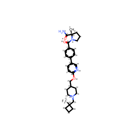 C[C@@]1(C(N)=O)CCCN1C(=O)c1ccc(-c2ccc(OCC3CCN(CC4(C(F)(F)F)CCC4)CC3)nc2)cc1